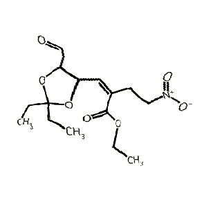 CCOC(=O)C(=CC1OC(CC)(CC)OC1C=O)CC[N+](=O)[O-]